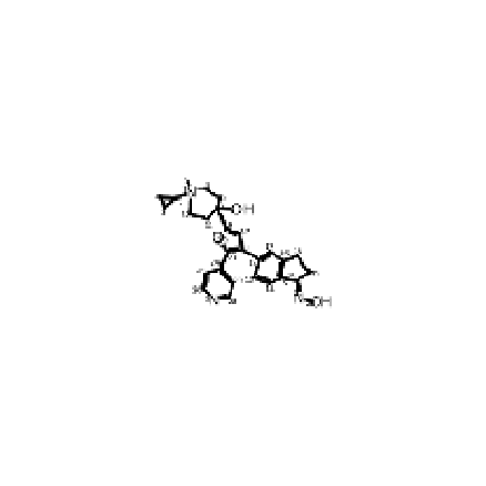 C[N+]1(C2CC2)CCC(O)(c2cc(-c3ccc4c(c3)CCC4=NO)c(-c3ccncc3)o2)CC1